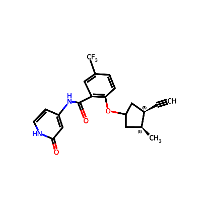 C#C[C@@H]1CC(Oc2ccc(C(F)(F)F)cc2C(=O)Nc2cc[nH]c(=O)c2)C[C@@H]1C